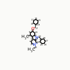 CC[n+]1ccc2c3c(C)cc(OCc4ccccc4)cc3n(Cc3ccccc3)c2c1